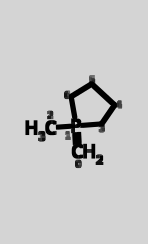 C=P1(C)CCCC1